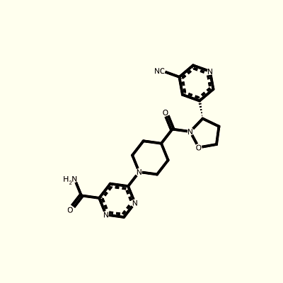 N#Cc1cncc([C@@H]2CCON2C(=O)C2CCN(c3cc(C(N)=O)ncn3)CC2)c1